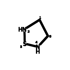 C1CNSN1